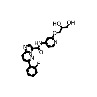 O=C(Nc1ccnc(OCC(O)CO)c1)c1cnc2ccc(-c3ccccc3F)nn12